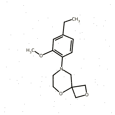 CCc1ccc(N2CCOC3(COC3)C2)c(OC)c1